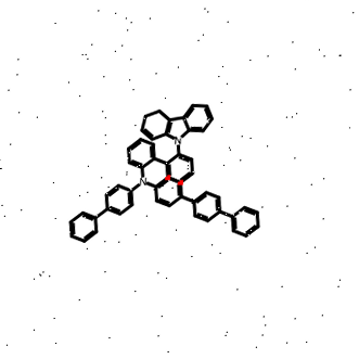 C1=Cc2c(c3ccccc3n2-c2ccccc2-c2ccccc2N(c2ccc(-c3ccccc3)cc2)c2ccc(-c3ccc(-c4ccccc4)cc3)cc2)CC1